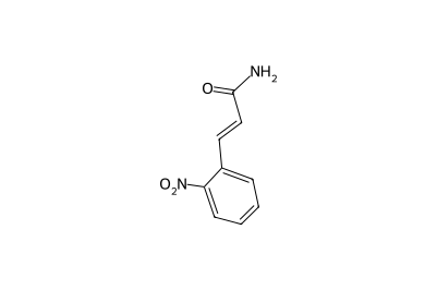 NC(=O)C=Cc1ccccc1[N+](=O)[O-]